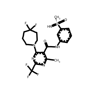 Cc1nc(C(F)(F)F)nc(N2CCCC(F)(F)CC2)c1C(=O)Nc1cccc([S@@](C)(=N)=O)c1